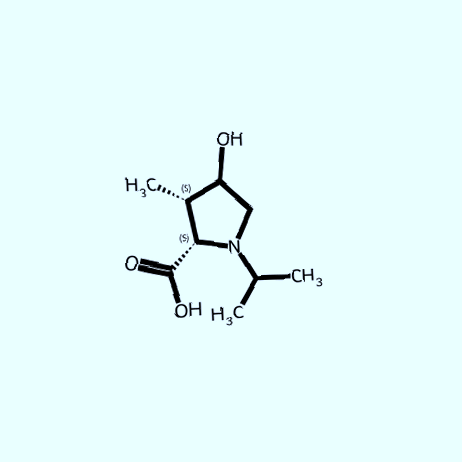 CC(C)N1CC(O)[C@@H](C)[C@H]1C(=O)O